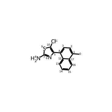 Cc1ccc(-c2nc(N)sc2Cl)c2ccccc12